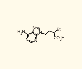 CC[C@H](CCn1cnc2c(N)ncnc21)C(=O)O